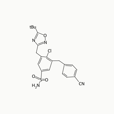 CC(C)(C)c1nc(Cc2cc(S(N)(=O)=O)cc(Cc3ccc(C#N)cc3)c2Cl)no1